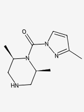 Cc1ccn(C(=O)N2[C@H](C)CNC[C@@H]2C)n1